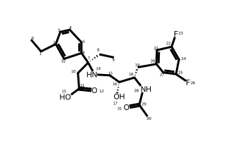 CCc1cccc([C@](CC)(CC(=O)O)NC[C@@H](O)[C@H](Cc2cc(F)cc(F)c2)NC(C)=O)c1